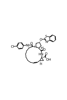 O=C1N[C@]2(C(=O)O)C[C@H]2/C=C\CCCCC[C@H](Nc2ccc(Cl)cc2)C(=O)N2C[C@H](Oc3nc4ccccc4s3)C[C@@H]12